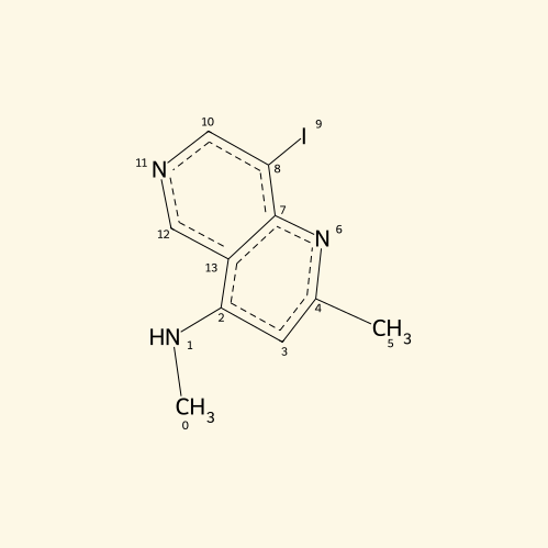 CNc1cc(C)nc2c(I)cncc12